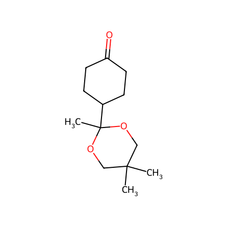 CC1(C)COC(C)(C2CCC(=O)CC2)OC1